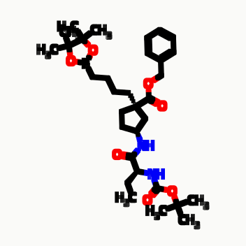 CC[C@H](NC(=O)OC(C)(C)C)C(=O)N[C@H]1CC[C@@](CCCCB2OC(C)(C)C(C)(C)O2)(C(=O)OCc2ccccc2)C1